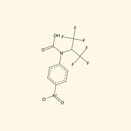 O=C(O)N(c1ccc([N+](=O)[O-])cc1)C(C(F)(F)F)C(F)(F)F